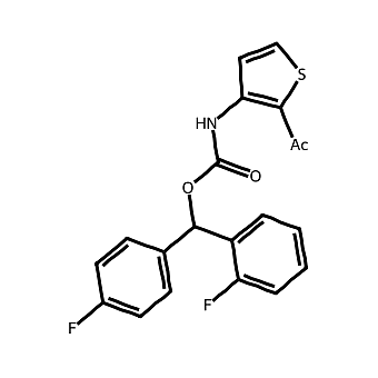 [CH2]C(=O)c1sccc1NC(=O)OC(c1ccc(F)cc1)c1ccccc1F